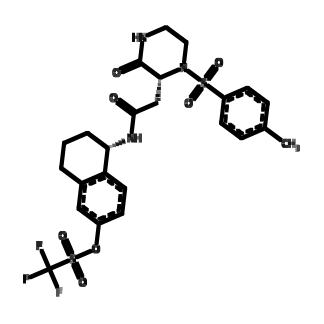 Cc1ccc(S(=O)(=O)N2CCNC(=O)[C@H]2CC(=O)N[C@H]2CCCc3cc(OS(=O)(=O)C(F)(F)F)ccc32)cc1